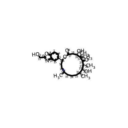 C/C1=C/C[C@@H](c2ccc3oc(CO)nc3c2)OC(=O)C[C@H](O)C(C)(C)C(=O)[C@H](C)[C@@H](O)[C@@H](C)CCC1